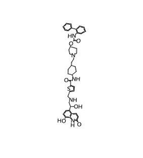 O=C(Nc1ccccc1-c1ccccc1)OC1CCN(CCC2CCC(NC(=O)c3ccc(CNCC(O)c4ccc(O)c5[nH]c(=O)ccc45)s3)CC2)CC1